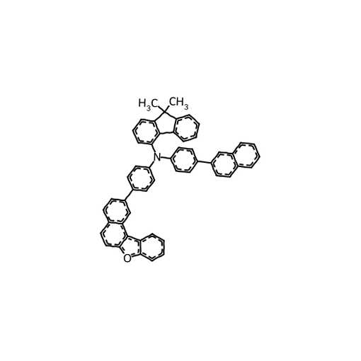 CC1(C)c2ccccc2-c2c(N(c3ccc(-c4ccc5ccccc5c4)cc3)c3ccc(-c4ccc5ccc6oc7ccccc7c6c5c4)cc3)cccc21